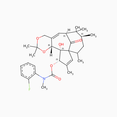 CC1=CC23C(=O)[C@@H](C=C4COC(C)(C)O[C@H]4[C@]2(O)[C@H]1OC(=O)N(C)c1ccccc1F)C(C)(C)[C@@H](C)CC3C